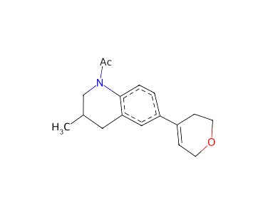 CC(=O)N1CC(C)Cc2cc(C3=CCOCC3)ccc21